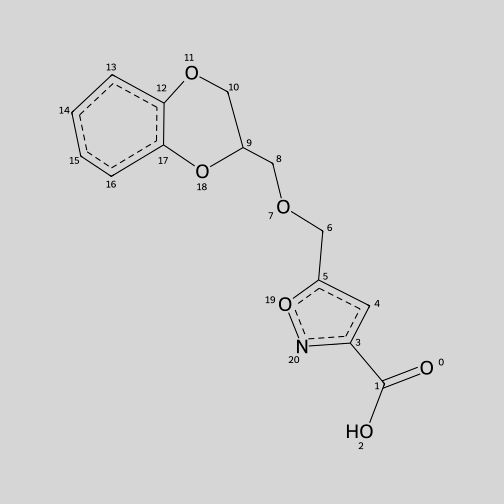 O=C(O)c1cc(COCC2COc3ccccc3O2)on1